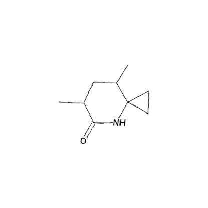 CC1CC(C)C2(CC2)NC1=O